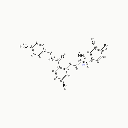 Cc1ccc(CNC(=O)c2ccc(Br)cc2CS/C(N)=N/c2ccc(Br)c(Cl)c2)cc1